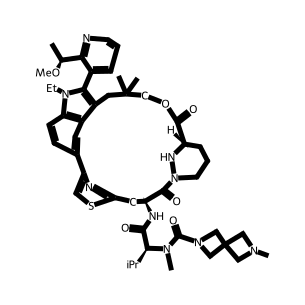 CCn1c(-c2cccnc2[C@H](C)OC)c2c3cc(ccc31)-c1csc(n1)C[C@H](NC(=O)[C@H](C(C)C)N(C)C(=O)N1CC3(CN(C)C3)C1)C(=O)N1CCC[C@H](N1)C(=O)OCC(C)(C)C2